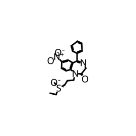 CC[S+]([O-])CCCN1C(=O)CN=C(c2ccccc2)c2cc([N+](=O)[O-])ccc21